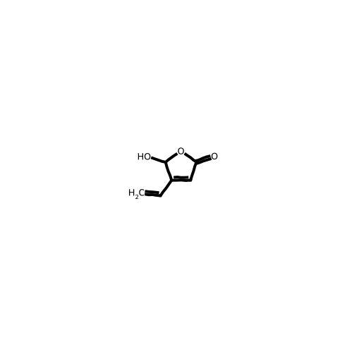 C=CC1=CC(=O)OC1O